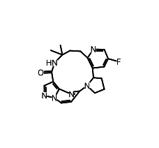 CC1(C)CCc2ncc(F)cc2C2CCCN2c2ccn3ncc(c3n2)C(=O)N1